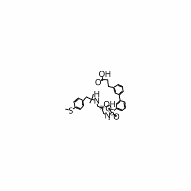 CSc1ccc(CC(C)(C)NC[C@@H](O)CN(C)S(=O)(=O)c2cccc(-c3cccc(CCC(=O)O)c3)c2)cc1